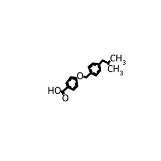 CC(C)Cc1ccc(COc2ccc(C(=O)O)cc2)cc1